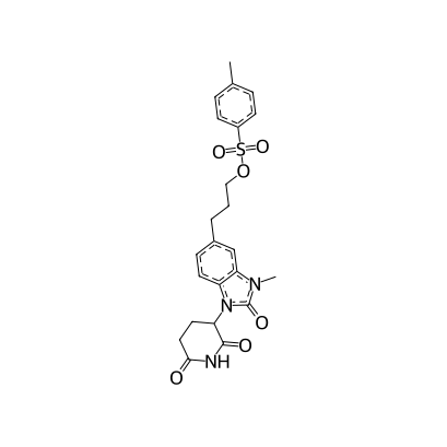 Cc1ccc(S(=O)(=O)OCCCc2ccc3c(c2)n(C)c(=O)n3C2CCC(=O)NC2=O)cc1